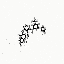 Cc1cn(-c2cc(Nc3ncnc(Oc4ccc5[nH]c(C)cc5c4F)c3C#N)cc(C(F)(F)F)c2)cn1